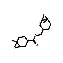 CC12CCC(COC(=O)C3CCC4(C)OC4C3)CC1O2